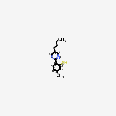 CCCCc1cnc(-c2ccc(C)cc2S)nc1